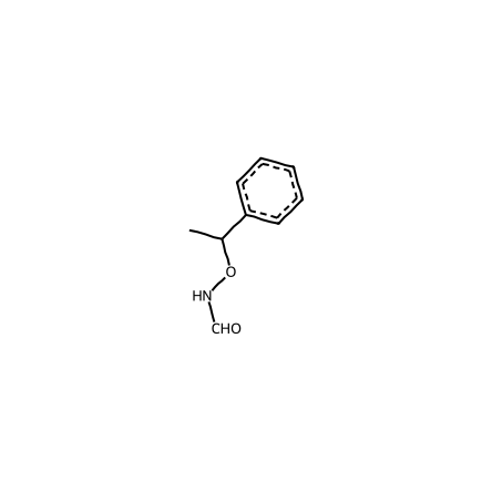 CC(ONC=O)c1ccccc1